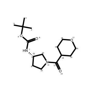 CC(C)(C)OC(=O)N[C@H]1CCN(C(=O)C2CCOCC2)C1